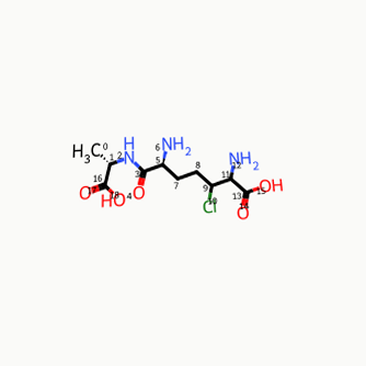 C[C@H](NC(=O)[C@@H](N)CCC(Cl)C(N)C(=O)O)C(=O)O